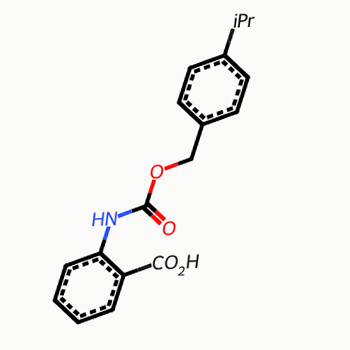 CC(C)c1ccc(COC(=O)Nc2ccccc2C(=O)O)cc1